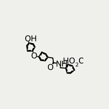 O=C(Cc1ccc(Oc2ccc(O)cc2)cc1)NCc1ccccc1C(=O)O